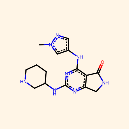 Cn1cc(Nc2nc(NC3CCCNC3)nc3c2C(=O)NC3)cn1